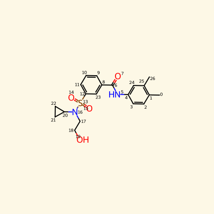 Cc1ccc(NC(=O)c2cccc(S(=O)(=O)N(CCO)C3CC3)c2)cc1C